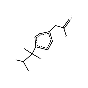 CC(C)C(C)(C)c1ccc(CC(=O)Cl)cc1